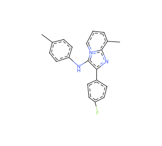 Cc1ccc(Nc2c(-c3ccc(F)cc3)nc3c(C)cccn23)cc1